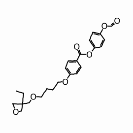 CCC1(COCCCCOc2ccc(C(=O)Oc3ccc(OC=O)cc3)cc2)COC1